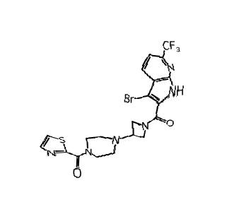 O=C(c1nccs1)N1CCN(C2CN(C(=O)c3[nH]c4nc(C(F)(F)F)ccc4c3Br)C2)CC1